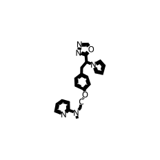 CN(CCOc1ccc(CC(c2nnco2)n2cccc2)cc1)c1ccccn1